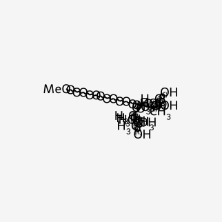 COCOCCOCCOCCOCCOCOCCOCCOCCOCCOCCOCOCC(COC(=O)CC[C@H](C)[C@@H]1CC[C@@H]2C3[C@@H](O)CC4C[C@@H](O)CC[C@@]4(C)[C@]3(C)C[C@@H](O)[C@]21C)OC(=O)CC[C@@H](C)[C@H]1CC[C@H]2C3[C@H](O)CC4C[C@H](O)CC[C@]4(C)[C@@]3(C)C[C@H](O)[C@]12C